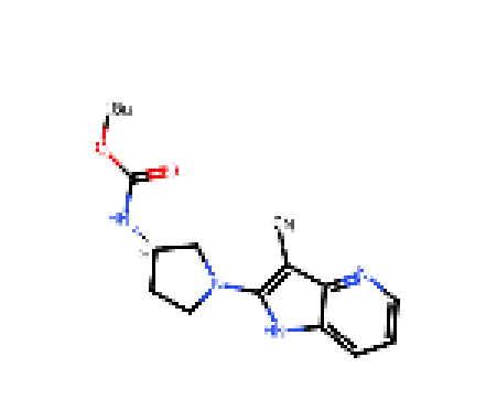 CC(C)(C)OC(=O)N[C@H]1CCN(c2[nH]c3cccnc3c2C#N)C1